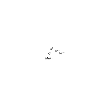 [K+].[Mn+2].[Ni+2].[O-2].[Ti+4]